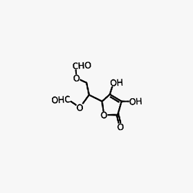 O=COCC(OC=O)C1OC(=O)C(O)=C1O